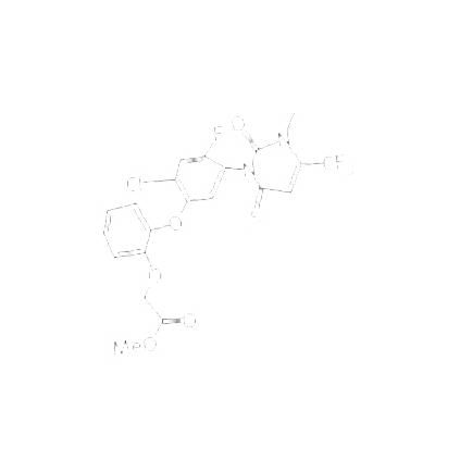 COC(=O)COc1ccccc1Oc1cc(-n2c(=S)cc(C(F)(F)F)n(C)c2=O)c(F)cc1Cl